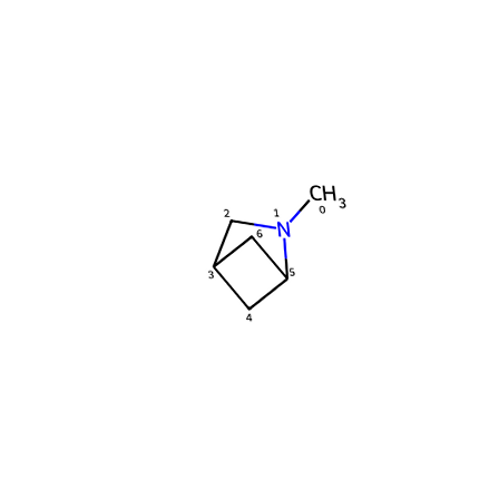 CN1CC2CC1C2